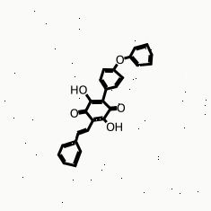 O=C1C(O)=C(c2ccc(Oc3ccccc3)cc2)C(=O)C(O)=C1C=Cc1ccccc1